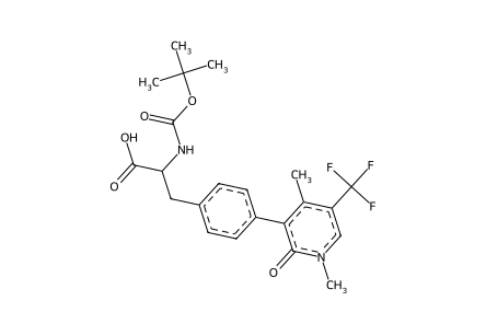 Cc1c(C(F)(F)F)cn(C)c(=O)c1-c1ccc(CC(NC(=O)OC(C)(C)C)C(=O)O)cc1